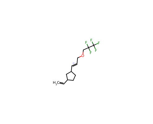 C=CC1CCC(/C=C/COCC(F)(F)C(F)(F)F)C1